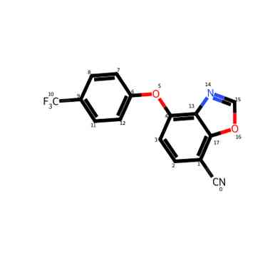 N#Cc1ccc(Oc2ccc(C(F)(F)F)cc2)c2ncoc12